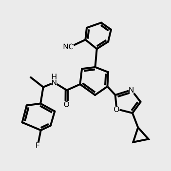 CC(NC(=O)c1cc(-c2ncc(C3CC3)o2)cc(-c2ccccc2C#N)c1)c1ccc(F)cc1